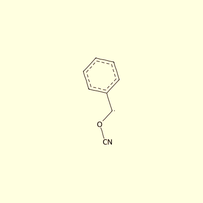 N#CO[CH]c1ccccc1